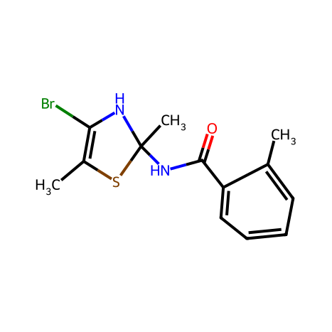 CC1=C(Br)NC(C)(NC(=O)c2ccccc2C)S1